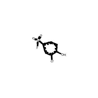 O=S(=O)(F)c1ccc(O)c(Cl)c1